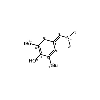 CN(C)C=C1C=C(C(C)(C)C)C(O)=C(C(C)(C)C)C1